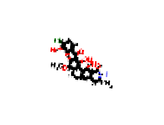 COc1c2c(c(O)c3c(=O)c4ccc(Cl)c(O)c4oc13)-c1c(cc3cc(C)[nH]c(=O)c3c1O)CC2